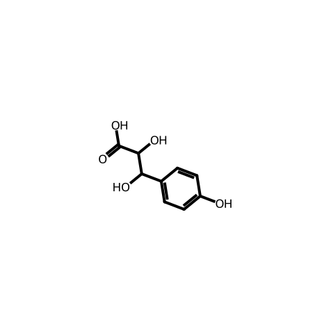 O=C(O)C(O)C(O)c1ccc(O)cc1